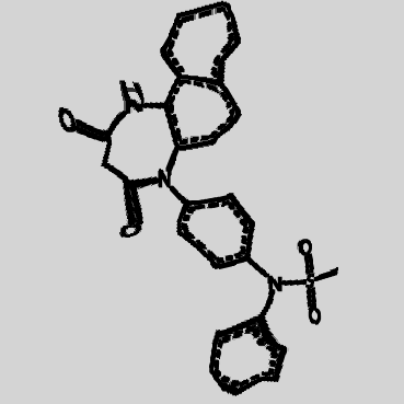 CS(=O)(=O)N(c1ccccc1)c1ccc(N2C(=O)CC(=O)Nc3c2ccc2ccccc32)cc1